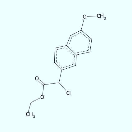 CCOC(=O)C(Cl)c1ccc2cc(OC)ccc2c1